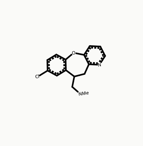 CNCC1Cc2ncccc2Oc2ccc(Cl)cc21